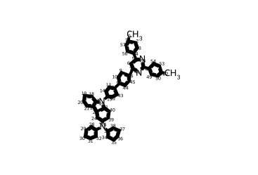 Cc1ccc(-c2cc(-c3ccc(-c4ccc(-n5c6ccccc6c6cc(N(c7ccccc7)c7ccccc7)ccc65)cc4)cc3)nc(-c3ccc(C)cc3)n2)cc1